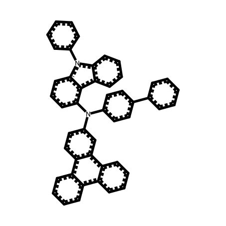 c1ccc(-c2ccc(N(c3ccc4c5ccccc5c5ccccc5c4c3)c3cccc4c3c3ccccc3n4-c3ccccc3)cc2)cc1